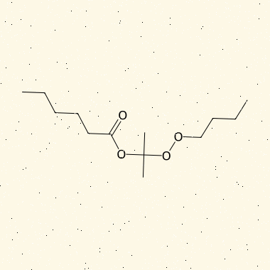 CCCCCC(=O)OC(C)(C)OOCCCC